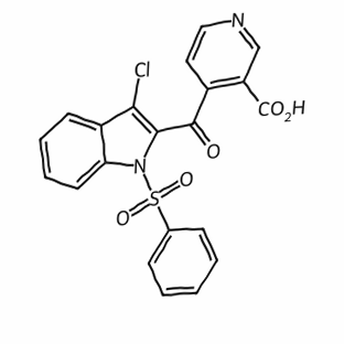 O=C(O)c1cnccc1C(=O)c1c(Cl)c2ccccc2n1S(=O)(=O)c1ccccc1